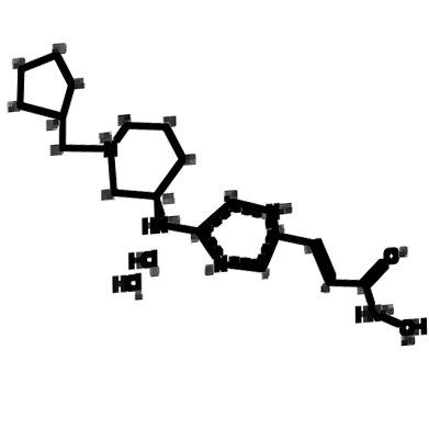 Cl.Cl.O=C(/C=C/c1cnc(N[C@@H]2CCCN(CC3CCCC3)C2)cn1)NO